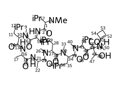 CNC(C(=O)NC(C(=O)N(C)C(CC(C)C)C(=O)NC(C)C(=O)NC(C)C(=O)N(C)C(CC(C)C)C(=O)N(C)C(CC(C)C)C(=O)N(C)C(C(=O)[C@@](C(=O)O)(C(C)O)N(C)C1=CCC1)C(C)C)C(C)C)C(C)C